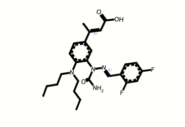 CCCCN(CCCC)c1ccc(/C(C)=C/C(=O)O)cc1N(/N=C/c1ccc(F)cc1F)C(N)=O